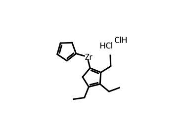 CCC1=C(CC)C(CC)=[C]([Zr][C]2=CC=CC2)C1.Cl.Cl